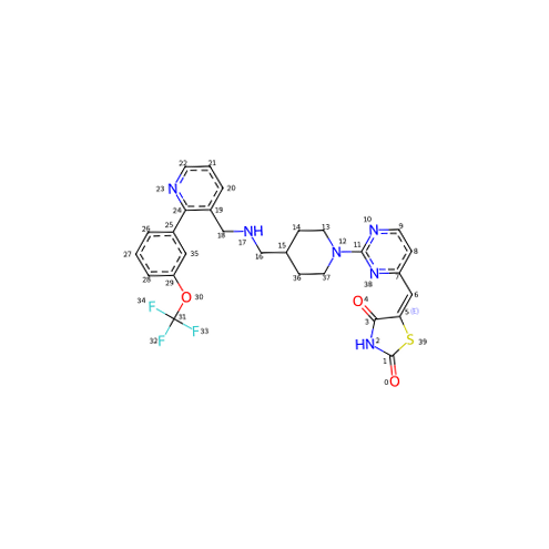 O=C1NC(=O)/C(=C\c2ccnc(N3CCC(CNCc4cccnc4-c4cccc(OC(F)(F)F)c4)CC3)n2)S1